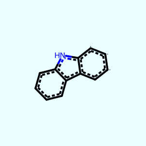 [c]1[c]cc2c([c]1)[nH]c1ccccc12